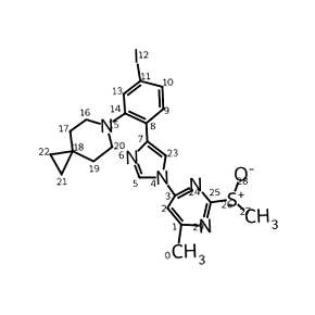 Cc1cc(-n2cnc(-c3ccc(I)cc3N3CCC4(CC3)CC4)c2)nc([S+](C)[O-])n1